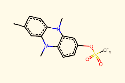 Cc1ccc2c(c1)N(C)c1ccc(OS(=O)(=O)C(F)(F)F)cc1N2C